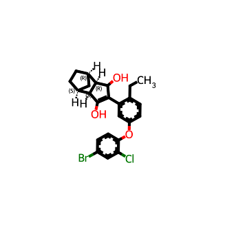 CCc1ccc(Oc2ccc(Br)cc2Cl)cc1C1=C(O)[C@H]2[C@H]3CC[C@H](C3)[C@H]2C1O